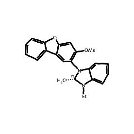 CCN1c2ccccc2N(c2cc3c(cc2OC)oc2ccccc23)[C@H]1C